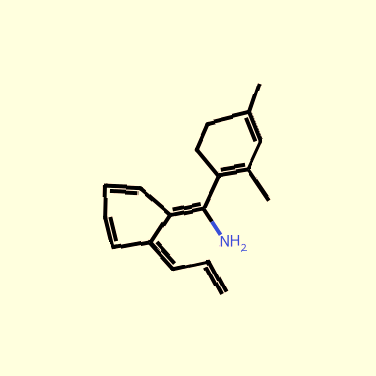 C=C/C=c1/cccc/c1=C(/N)C1=C(C)C=C(C)CC1